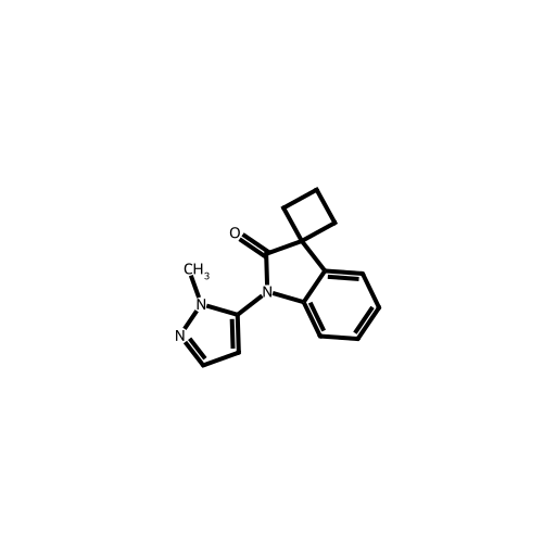 Cn1nccc1N1C(=O)C2(CCC2)c2ccccc21